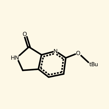 CC(C)(C)Oc1ccc2c(n1)C(=O)NC2